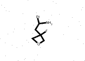 CCC(N)CC1(F)COC1